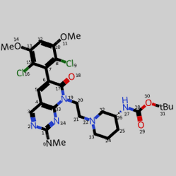 CNc1ncc2cc(-c3c(Cl)c(OC)cc(OC)c3Cl)c(=O)n(CCN3CCC[C@@H](NC(=O)OC(C)(C)C)C3)c2n1